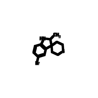 CC1Nc2ccc(Br)cc2C12CCSCC2